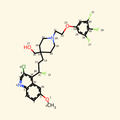 COc1ccc2ncc(Cl)c([C@H](F)CCC3(CO)CCN(CCOc4cc(F)c(F)c(F)c4)CC3)c2c1